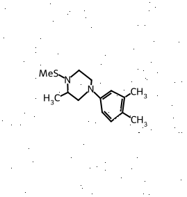 CSN1CCN(c2ccc(C)c(C)c2)CC1C